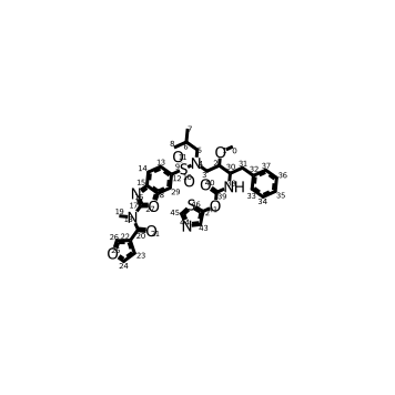 COC(CN(CC(C)C)S(=O)(=O)c1ccc2nc(N(C)C(=O)c3ccoc3)oc2c1)C(Cc1ccccc1)NC(=O)Oc1cncs1